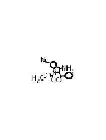 CCOC(=O)n1c(C(=O)c2ccccc2)c(N)c2ccc(C#N)cc21